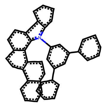 c1ccc(-c2cc(-c3ccccc3)cc(-n3c4ccccc4c4ccc5ccc6c7ccccc7ccc6c5c43)c2)cc1